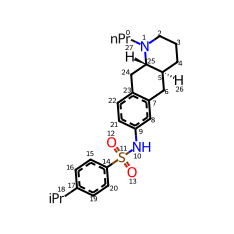 CCCN1CCC[C@H]2Cc3cc(NS(=O)(=O)c4ccc(C(C)C)cc4)ccc3C[C@@H]21